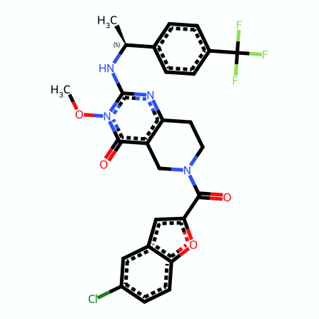 COn1c(N[C@@H](C)c2ccc(C(F)(F)F)cc2)nc2c(c1=O)CN(C(=O)c1cc3cc(Cl)ccc3o1)CC2